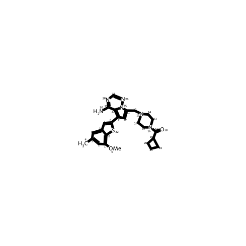 COc1cc(C)cc2cc(-c3cc(CN4CCN(C(=O)C5CCC5)CC4)n4ncnc(N)c34)sc12